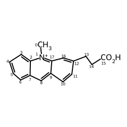 C[n+]1c2ccccc2cc2ccc(CCC(=O)O)cc21